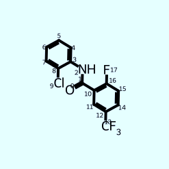 O=C(Nc1ccccc1Cl)c1cc(C(F)(F)F)ccc1F